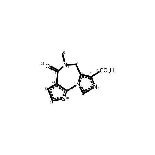 CN1Cc2c(C(=O)O)ncn2-c2sccc2C1=O